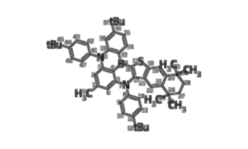 Cc1cc2c3c(c1)N(c1ccc(C(C)(C)C)cc1)c1c(sc4cc5c(cc14)C(C)(C)CCC5(C)C)B3c1ccc(C(C)(C)C)cc1N2c1ccc(C(C)(C)C)cc1